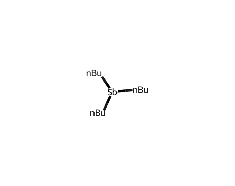 CCC[CH2][Sb]([CH2]CCC)[CH2]CCC